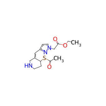 CCOC(=O)Cn1ccc(/C=C2/CNCCC2SC(C)=O)n1